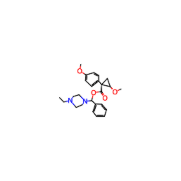 CCN1CCN(C(OC(=O)[C@@]2(c3ccc(OC)cc3)C[C@H]2OC)c2ccccc2)CC1